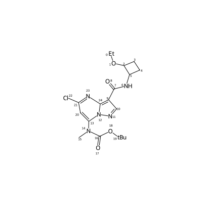 CCOC1CCC1NC(=O)c1cnn2c(N(C)C(=O)OC(C)(C)C)cc(Cl)nc12